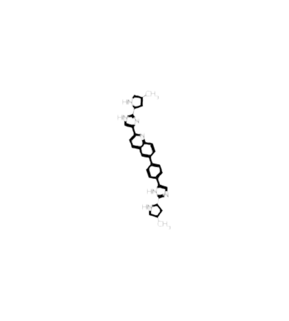 C[C@@H]1CN[C@H](c2nc(-c3ccc4cc(-c5ccc(-c6cnc([C@@H]7C[C@H](C)CN7)[nH]6)cc5)ccc4n3)c[nH]2)C1